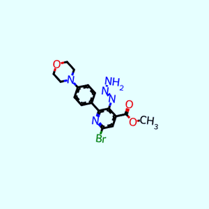 COC(=O)c1cc(Br)nc(-c2ccc(N3CCOCC3)cc2)c1N=NN